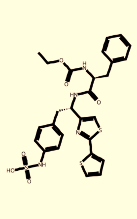 CCOC(=O)N[C@@H](Cc1ccccc1)C(=O)N[C@@H](Cc1ccc(NS(=O)(=O)O)cc1)c1csc(-c2cccs2)n1